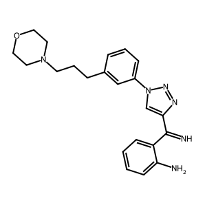 N=C(c1cn(-c2cccc(CCCN3CCOCC3)c2)nn1)c1ccccc1N